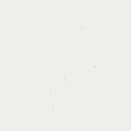 Cc1cc(Nc2nc(Sc3ccc(NC(=O)CN4CC(F)(F)CC4COP(=O)(O)O)cc3)nc3cccn23)n[nH]1